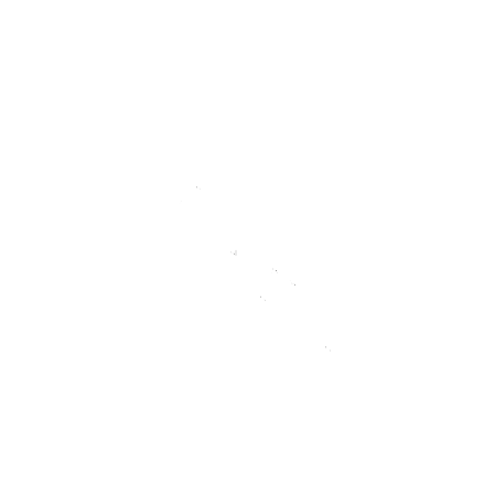 O=C(NCc1ccccc1OS(=O)(=O)F)c1cccc(NCc2nnc(-c3ccncc3)n2CCCOC2CC/C=C\CCC2)c1